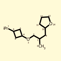 CC(COC1CC(C(C)C)C1)CC1CCCO1